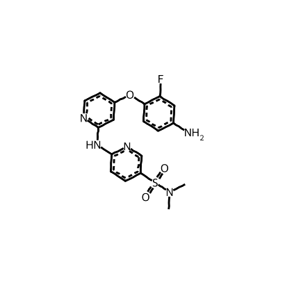 CN(C)S(=O)(=O)c1ccc(Nc2cc(Oc3ccc(N)cc3F)ccn2)nc1